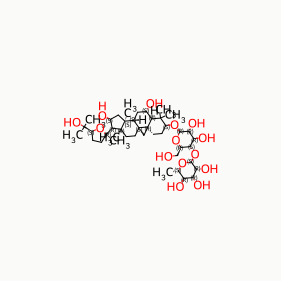 C[C@@H]1O[C@@H](O[C@H]2[C@H](O)[C@@H](O)[C@H](O[C@H]3CC[C@]45C[C@]46CC[C@]4(C)[C@@H]([C@@]7(C)CC[C@@H](C(C)(C)O)O7)[C@@H](O)C[C@@]4(C)[C@@H]6C[C@H](O)[C@H]5C3(C)C)O[C@@H]2CO)[C@H](O)[C@H](O)[C@H]1O